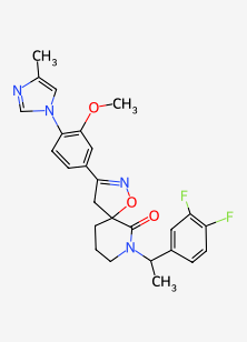 COc1cc(C2=NOC3(CCCN(C(C)c4ccc(F)c(F)c4)C3=O)C2)ccc1-n1cnc(C)c1